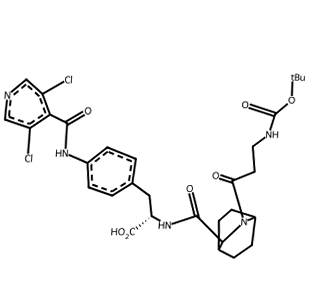 CC(C)(C)OC(=O)NCCC(=O)N1C2CCC(CC2)C1C(=O)N[C@@H](Cc1ccc(NC(=O)c2c(Cl)cncc2Cl)cc1)C(=O)O